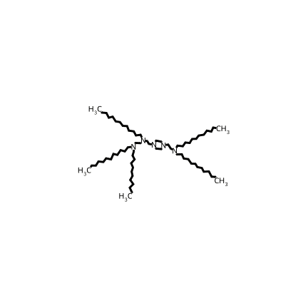 CCCCCCCCCCCCCN(CCCCCCCCCCCC)CCN1CCN(CCN(CCCCCCCCCCCCC)CCN(CCCCCCCCCCCC)CCCCCCCCCCCC)CC1